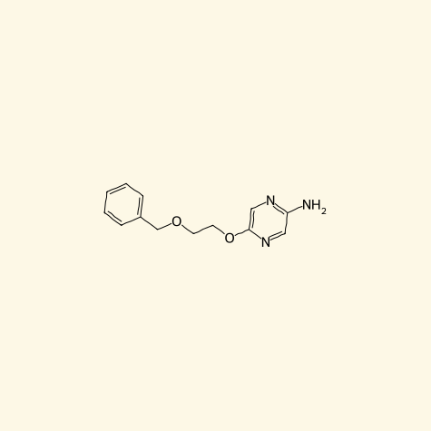 Nc1cnc(OCCOCc2ccccc2)cn1